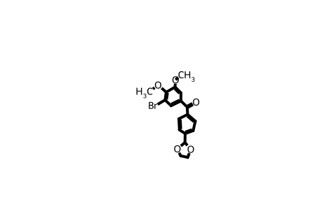 COc1cc(C(=O)c2ccc(C3OCCO3)cc2)cc(Br)c1OC